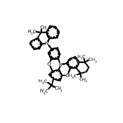 CC(C)(C)c1cc2c3c(c1)Oc1c(ccc4c1C(C)(C)CCC4(C)C)B3c1ccc(N3c4ccccc4C(C)(C)c4ccccc43)cc1O2